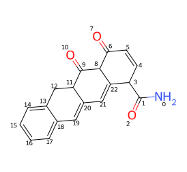 NC(=O)C1C=CC(=O)C2C(=O)C3Cc4ccccc4C=C3C=C12